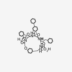 CN1C(=O)COc2ccc(cc2)C[C@@H](C(=O)O)NC(=O)[C@H](CCc2ccccc2)NC(=O)[C@@H](Cc2ccc(-c3ccccc3)cc2)NC(=O)[C@@H]1Cc1ccccc1